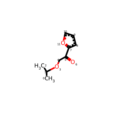 CC(C)OCC(=O)c1ccco1